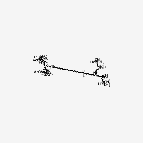 CB(O)N(C)CCCN(CCCCNCC(CCCCCCNC(=O)CCCCCCCCCCCCCCCCCCCCCCCNC(=O)CCC(=O)N(CCNC(=O)[C@@H](OC(C)=O)[C@H](OC(C)=O)[C@@H](OC(C)=O)[C@@H](COC(C)=O)OC(C)=O)CCNC(=O)[C@H](OC(C)=O)[C@@H](OC(C)=O)[C@H](OC(C)=O)[C@H](COC(C)=O)OC(C)=O)CNCCCCN(CCCN(C)B(C)O)B(C)O)B(C)O